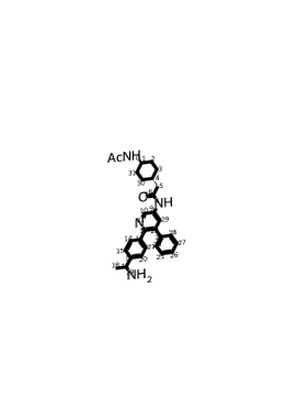 CC(=O)N[C@H]1CC[C@H](CC(=O)Nc2cnc(-c3ccc(C(C)N)cc3)c(-c3ccccc3)c2)CC1